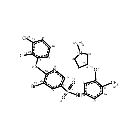 CN1CC[C@@H](Oc2cc(NS(=O)(=O)c3cnc(Sc4cccc(Cl)c4Cl)c(Br)c3)ccc2C(F)(F)F)C1